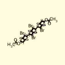 CC(=O)Oc1cc2sc(-c3sc4c(Br)c(-c5sc6cc(OC(C)=O)sc6c5Br)sc4c3Br)c(Br)c2s1